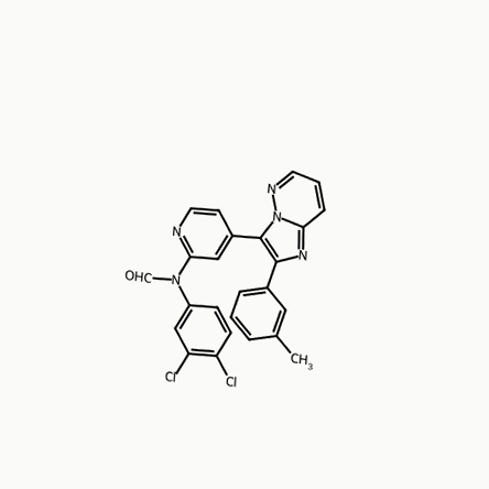 Cc1cccc(-c2nc3cccnn3c2-c2ccnc(N(C=O)c3ccc(Cl)c(Cl)c3)c2)c1